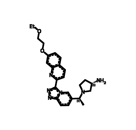 CCOCCOc1ccc2ccc(-c3nnc4ccc([C@H](C)N5CC[C@H](N)C5)cn34)nc2c1